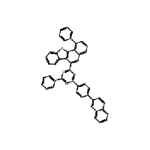 c1ccc(-c2nc(-c3ccc(-c4ccc5ccccc5c4)cc3)nc(-c3cc4cccc(-c5ccccc5)c4c4oc5ccccc5c34)n2)cc1